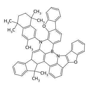 Cc1cc2c(cc1N1C3=CC4c5ccccc5C(C)(C)C4C4=C3B(c3ccc5c(oc6ccccc65)c31)n1c3c4cccc3c3oc4ccccc4c31)C(C)(C)CCC2(C)C